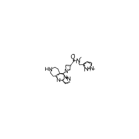 CN(Cc1ccn(C)n1)C(=O)C1CN(c2c3c(nc4ccnn24)CCNCC3)C1